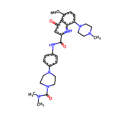 COc1ccc(N2CCN(C)CC2)c2[nH]c(C(=O)Nc3ccc(N4CCN(C(=O)N(C)C)CC4)cc3)cc(=O)c12